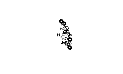 CC(C)CCN(c1cccc(CC(C)CNC(=O)[C@@H](CC(N)=O)NC(=O)c2ccc3ccccc3n2)c1O)S(=O)(=O)c1ccccc1